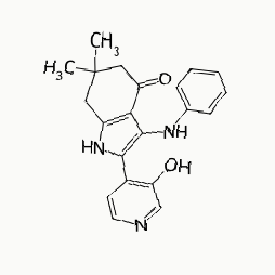 CC1(C)CC(=O)c2c([nH]c(-c3ccncc3O)c2Nc2ccccc2)C1